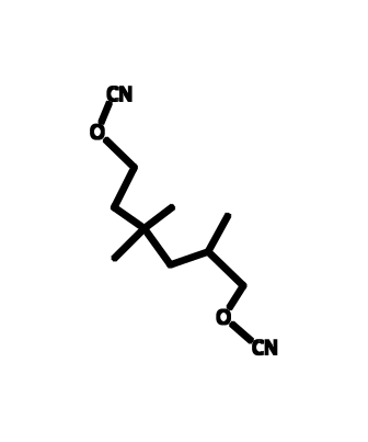 CC(COC#N)CC(C)(C)CCOC#N